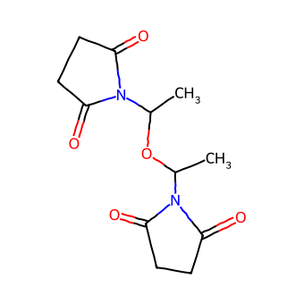 CC(OC(C)N1C(=O)CCC1=O)N1C(=O)CCC1=O